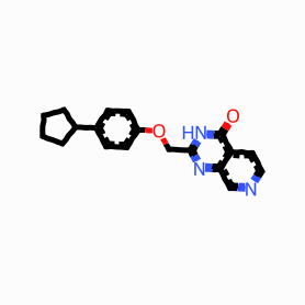 O=c1[nH]c(COc2ccc(C3CCCC3)cc2)nc2cnccc12